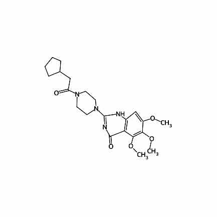 COc1cc2[nH]c(N3CCN(C(=O)CC4CCCC4)CC3)nc(=O)c2c(OC)c1OC